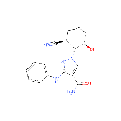 N#C[C@H]1CCC[C@@H](O)[C@@H]1n1cc(C(N)=O)c(Nc2ccccc2)n1